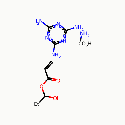 C=CC(=O)OC(O)CC.NC(=O)O.Nc1nc(N)nc(N)n1